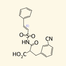 N#Cc1cccc(CC(C(=O)O)C(=O)NS(=O)(=O)/C=C/c2ccccc2)c1